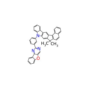 CC1(C)c2cc3c(cc2-c2c1ccc1ccccc21)c1ccccc1n3-c1cccc(-c2ncc3oc4ccccc4c3n2)c1